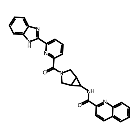 O=C(NC1C2CN(C(=O)c3cccc(-c4nc5ccccc5[nH]4)n3)CC21)c1ccc2ccccc2n1